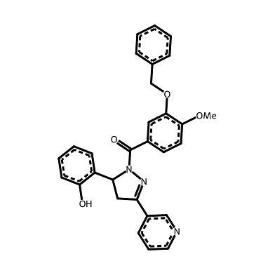 COc1ccc(C(=O)N2N=C(c3cccnc3)CC2c2ccccc2O)cc1OCc1ccccc1